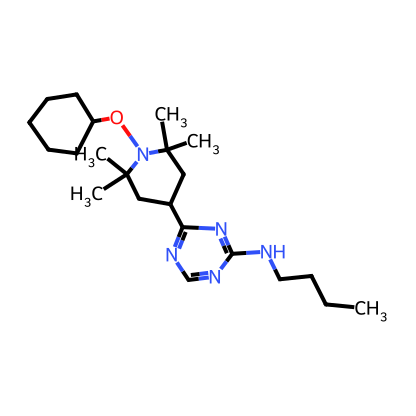 CCCCNc1ncnc(C2CC(C)(C)N(OC3CCCCC3)C(C)(C)C2)n1